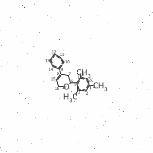 Cc1cc(C)c(C2CC(c3ccccc3)=CCO2)c(C)c1